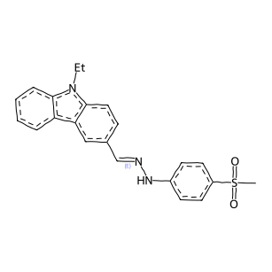 CCn1c2ccccc2c2cc(/C=N/Nc3ccc(S(C)(=O)=O)cc3)ccc21